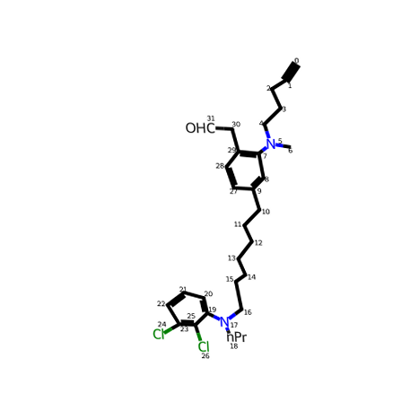 C#CCCCN(C)c1cc(CCCCCCCN(CCC)c2cccc(Cl)c2Cl)ccc1CC=O